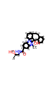 CCn1c(C2(O)c3ccccc3CCc3ccccc32)nc2ccc(C(=O)NC[C@@H](C)O)cc21